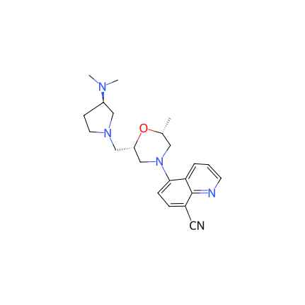 C[C@@H]1CN(c2ccc(C#N)c3ncccc23)C[C@H](CN2CC[C@@H](N(C)C)C2)O1